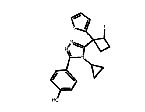 Oc1ccc(-c2nnc(C3(c4cccs4)CCC3I)n2C2CC2)cc1